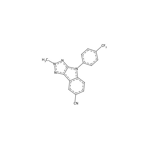 Cn1nc2c3cc(C#N)ccc3n(-c3ccc(C(F)(F)F)cc3)c2n1